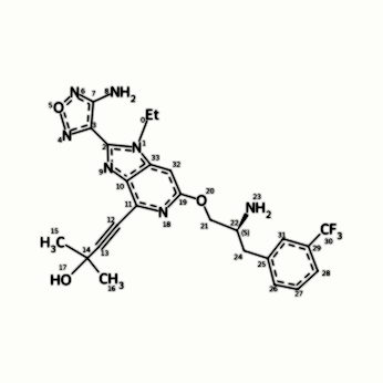 CCn1c(-c2nonc2N)nc2c(C#CC(C)(C)O)nc(OC[C@@H](N)Cc3cccc(C(F)(F)F)c3)cc21